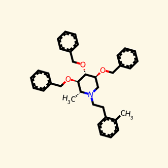 Cc1ccccc1CCN1C[C@H](OCc2ccccc2)[C@@H](OCc2ccccc2)[C@H](OCc2ccccc2)[C@H]1C